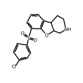 O=S(=O)(c1ccc(Cl)cc1)c1cccc2c1OC1CNCCC21